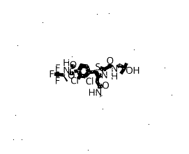 CNC(=O)Cc1nc(C(=O)NCC(C)(C)O)sc1-c1ccc(S(=O)(=O)N[C@@H](C)C(F)(F)F)c(Cl)c1Cl